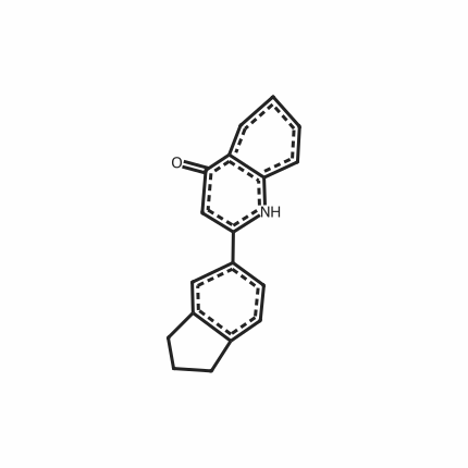 O=c1cc(-c2ccc3c(c2)CCC3)[nH]c2ccccc12